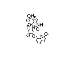 COc1ccc2cccc(COc3cc(-n4c(=O)[nH]c5csc(C(=O)O)c5c4=O)c(F)cc3OC)c2n1